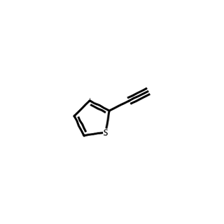 C#Cc1[c]ccs1